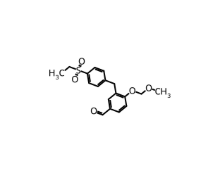 CCS(=O)(=O)c1ccc(Cc2cc(C=O)ccc2OCOC)cc1